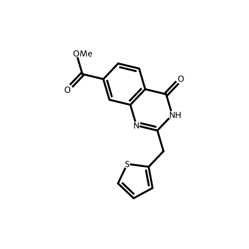 COC(=O)c1ccc2c(=O)[nH]c(Cc3cccs3)nc2c1